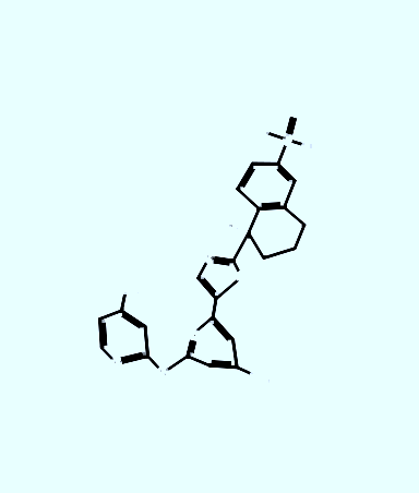 Cc1cc(Nc2cc(C(F)(F)F)ccn2)nc(-c2cnc([C@]3(O)CCCc4cc(P(=O)(O)O)ccc43)s2)c1